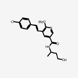 COc1ncc(C(=O)NC(C)CCO)cc1/C=C/c1ccc(Cl)cc1